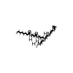 CCCCCCCC(=O)NCCC(=O)NCCCN(CCCN)CCCNCCCN1CC1